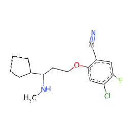 CNC(CCOc1cc(Cl)c(F)cc1C#N)C1CCCC1